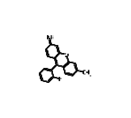 Cc1ccc2c(-c3ccccc3F)c3ccc(=N)cc-3oc2c1